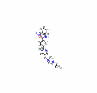 CCN1CCN(Cc2cnc(-c3ccc(C(=O)Nc4ccccc4N)cc3)c(F)c2)CC1